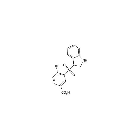 O=C(O)c1ccc(Br)c(S(=O)(=O)C2CNc3ccccc32)c1